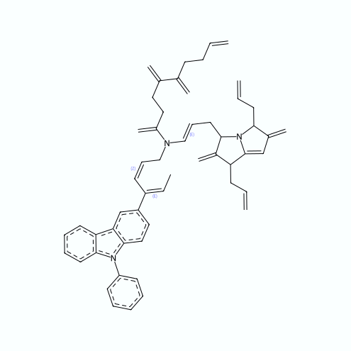 C=CCCC(=C)C(=C)CCC(=C)N(/C=C/CC1C(=C)C(CC=C)C2=CC(=C)C(CC=C)N21)C/C=C\C(=C/C)c1ccc2c(c1)c1ccccc1n2-c1ccccc1